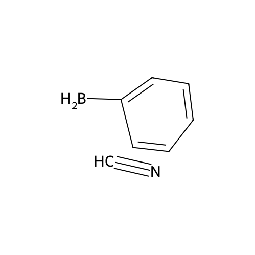 Bc1ccccc1.C#N